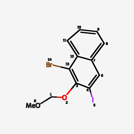 COCOc1c(I)cc2ccccc2c1Br